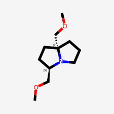 COC[C@H]1CC[C@@]2(COC)CCCN12